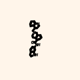 O=C(Nc1ccc2c(c1)NCC2)c1cccc2c1CCN(Cc1ccnc3ccccc13)C2